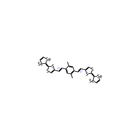 Cc1cc(/C=C/C2=CSC(=C3[Se]C=C[Se]3)S2)c(C)cc1/C=C/C1=CSC(=C2[Se]C=C[Se]2)S1